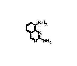 Nc1ncc2cccc(N)c2n1